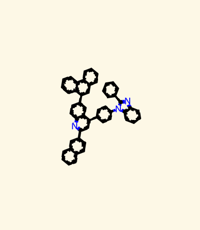 c1ccc(-c2nc3ccccc3n2-c2ccc(-c3cc(-c4ccc5ccccc5c4)nc4ccc(-c5cc6ccccc6c6ccccc56)cc34)cc2)cc1